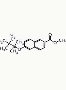 COC(=O)c1ccc2cc(O[Si](C)(C)C(C)(C)C)ccc2c1